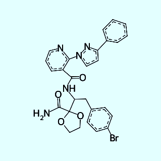 NC(=O)C1(C(Cc2ccc(Br)cc2)NC(=O)c2cccnc2-n2ccc(-c3ccccc3)n2)OCCO1